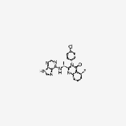 C[C@H](Nc1ncnc2[nH]cnc12)c1nc2cccc(F)c2c(=O)n1-c1ccc(Cl)cc1